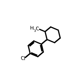 CC1CCCC[C]1c1ccc(Cl)cc1